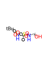 CC(C)(CO)CCCNC(=O)Oc1sc2ccc(NS(=O)(=O)c3ccc(C(C)(C)C)cc3)cc2c1-c1ccccc1